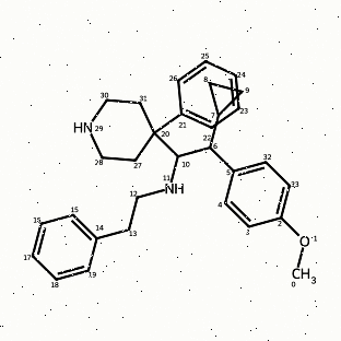 COc1ccc(C(C2CC2)C(NCCc2ccccc2)C2(c3ccccc3)CCNCC2)cc1